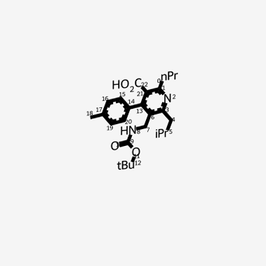 CCCc1nc(CC(C)C)c(CNC(=O)OC(C)(C)C)c(-c2ccc(C)cc2)c1C(=O)O